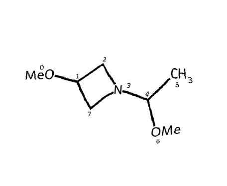 COC1CN(C(C)OC)C1